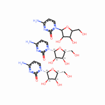 Nc1ccn(C2OC(CO)C(O)C2O)c(=O)n1.Nc1ccn([C@@H]2O[C@H](CO)[C@@H](O)[C@H]2O)c(=O)n1.Nc1ccn([C@@H]2O[C@H](CO)[C@@H](O)[C@H]2O)c(=O)n1